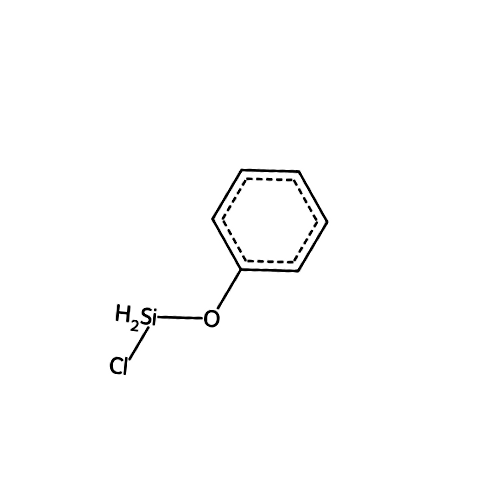 Cl[SiH2]Oc1ccccc1